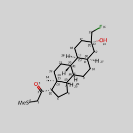 CSCC(=O)[C@H]1CC[C@H]2[C@@H]3CC[C@@H]4C[C@](O)(CF)CC[C@@H]4[C@H]3CC[C@]12C